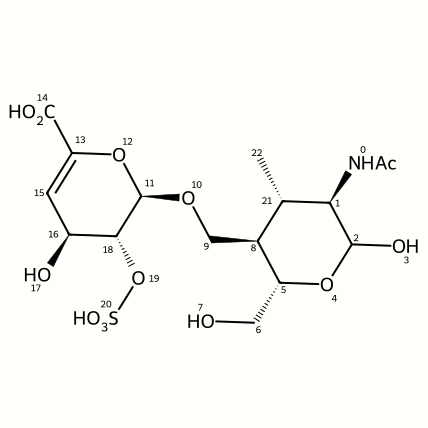 CC(=O)N[C@H]1C(O)O[C@H](CO)[C@@H](CO[C@@H]2OC(C(=O)O)=C[C@H](O)[C@H]2OS(=O)(=O)O)[C@@H]1C